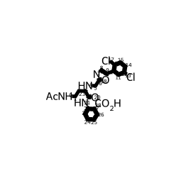 CC(=O)NCCC(NCc1ncc(-c2cc(Cl)ccc2Cl)o1)C(=O)Nc1ccccc1C(=O)O